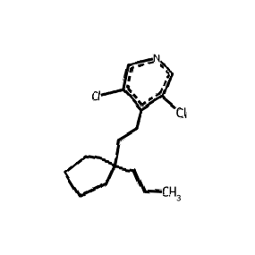 CCCC1(CCc2c(Cl)cncc2Cl)CCCC1